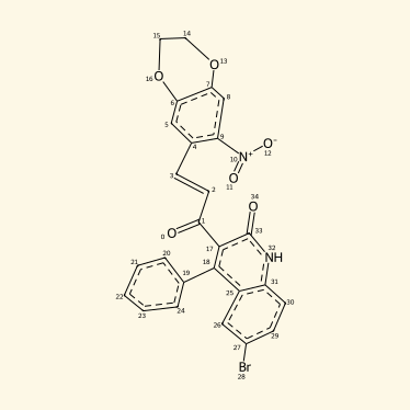 O=C(/C=C/c1cc2c(cc1[N+](=O)[O-])OCCO2)c1c(-c2ccccc2)c2cc(Br)ccc2[nH]c1=O